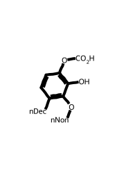 CCCCCCCCCCc1ccc(OC(=O)O)c(O)c1OCCCCCCCCC